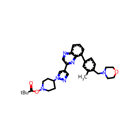 Cc1cc(-c2cccc3ncc(-c4cnn(C5CCN(OC(=O)C(C)(C)C)CC5)c4)nc23)ccc1CN1CCOCC1